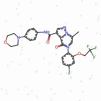 Cc1cn(-c2ccc(F)cc2OCC(F)(F)F)c(=O)c2c(C(=O)Nc3ccc(N4CCOCC4)cc3)cnn12